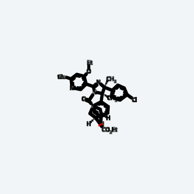 CCOC(=O)C1[C@H]2CN(C(=O)N3C(c4cnc(C(C)(C)C)cc4OCC)=N[C@@](C)(c4ccc(Cl)cc4)[C@@]3(C)c3ccc(Cl)cc3)C[C@@H]12